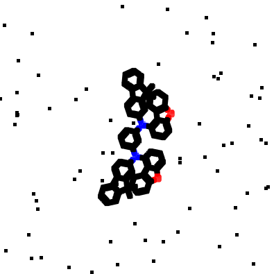 CC1(C)c2ccccc2-c2ccc(N(c3cccc(N(c4ccc5c(c4)C(C)(C)c4ccccc4-5)c4cccc5oc6c(c45)CCC=C6)c3)c3cccc4oc5c(c34)C=CCC5)cc21